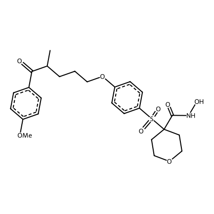 COc1ccc(C(=O)C(C)CCCOc2ccc(S(=O)(=O)C3(C(=O)NO)CCOCC3)cc2)cc1